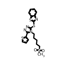 CS(=O)(=O)CCCCCn1c(Sc2nc3ccccc3s2)nnc1-c1cccs1